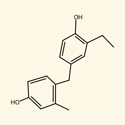 CCc1cc(Cc2ccc(O)cc2C)ccc1O